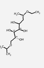 CCON(C)CC(O)[C@@H](O)[C@H](O)[C@H](O)COC(C)C